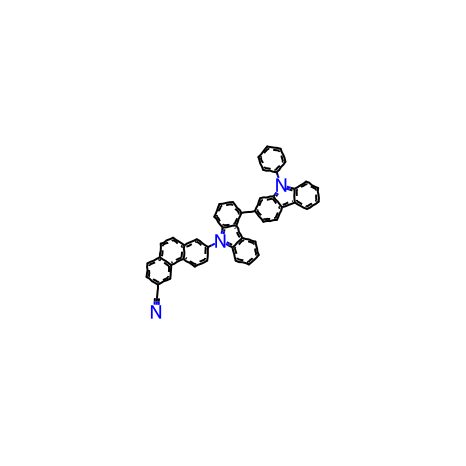 N#Cc1ccc2ccc3cc(-n4c5ccccc5c5c(-c6ccc7c8ccccc8n(-c8ccccc8)c7c6)cccc54)ccc3c2c1